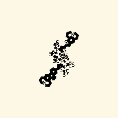 CC1(C)c2cc(-c3cc(P(CP(C)(C)=S)CP(C)(=S)CCP(C)(=S)CP(CP(C)(C)=S)c4cc(-c5cc6cc7c8c(c6s5)CCCN8CCC7)sc4P(C)(C)=S)c(P(CP(C)(C)=S)CP(C)(C)=S)s3)ccc2-c2cc3c4c(c21)CCCN4CCC3